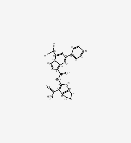 NC(=O)c1c(NC(=O)c2cnn3c(C(F)F)cc(-c4ccccc4)nc23)sc2c1CCC2